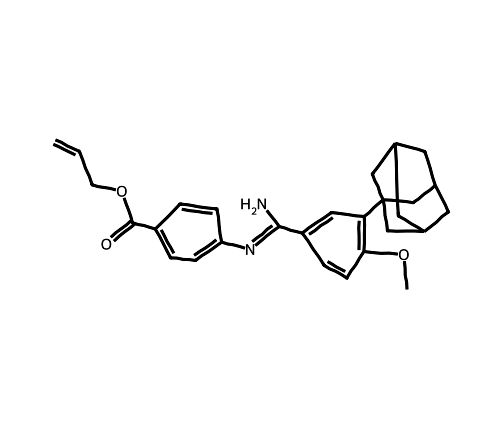 C=CCOC(=O)c1ccc(N=C(N)c2ccc(OC)c(C34CC5CC(CC(C5)C3)C4)c2)cc1